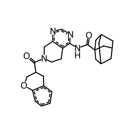 O=C(C1COc2ccccc2C1)N1CCc2c(ncnc2NC(=O)C23CC4CC(CC(C4)C2)C3)C1